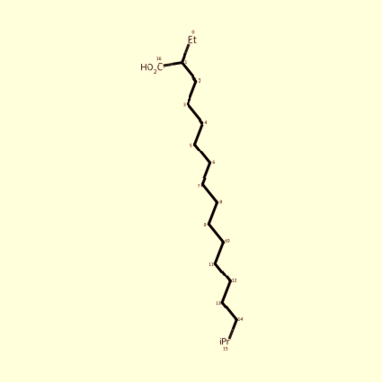 CCC(CCCCCCCCCCCCCC(C)C)C(=O)O